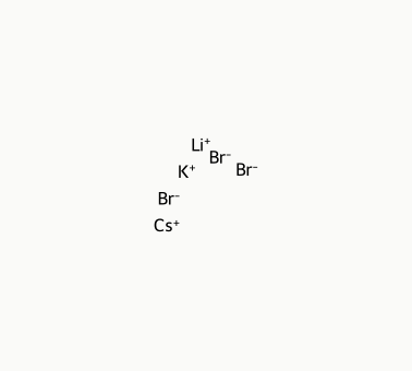 [Br-].[Br-].[Br-].[Cs+].[K+].[Li+]